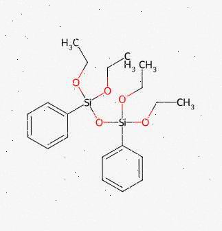 CCO[Si](OCC)(O[Si](OCC)(OCC)c1ccccc1)c1ccccc1